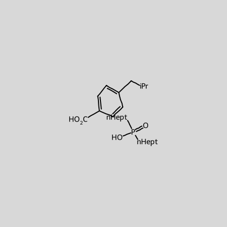 CC(C)Cc1ccc(C(=O)O)cc1.CCCCCCCP(=O)(O)CCCCCCC